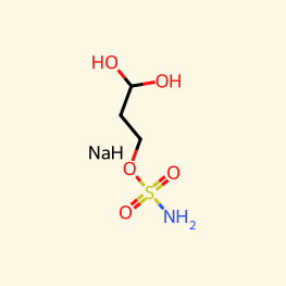 NS(=O)(=O)OCCC(O)O.[NaH]